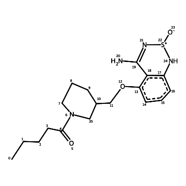 CCCCC(=O)N1CCCC(COc2cccc3c2C(N)=N[S+]([O-])N3)C1